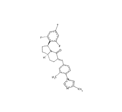 Cc1cn(-c2ccc(/C=C3\CC[C@H]4CC[C@@H](c5c(F)cc(F)cc5F)N4C3=O)cc2C)cn1